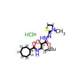 CN1CCSC1=NNC(=O)C(=O)[C@H](CC(C)(C)C)NC(=O)C1CCCCCC1.Cl